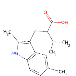 Cc1ccc2[nH]c(C)c(CC(C(=O)O)C(C)C)c2c1